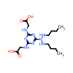 CCCCNN(NCCCC)c1nc(NCC(=O)O)nc(NCC(=O)O)n1